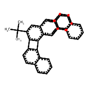 CC(C)(C)c1cc2c(c3c1-c1ccc4ccccc4c1-3)c1c3ccccc3c2c2ccc3ccccc3c21